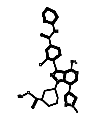 Cn1cc(-c2cnc(N)c3c(-c4ccc(C(=O)Nc5ccccn5)cc4Cl)nn(C4CCCN(C(=O)OC(C)(C)C)C4)c23)cn1